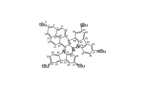 CC(C)(C)c1cc2ccc3c4c5c(c6ccc(c1)c2c36)-n1c2ccc(C(C)(C)C)cc2c2cc(C(C)(C)C)cc(c21)B5n1c2ccc(C(C)(C)C)cc2c2cc(C(C)(C)C)cc-4c21